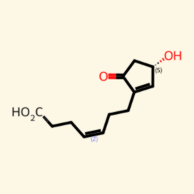 O=C(O)CC/C=C\CCC1=C[C@@H](O)CC1=O